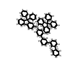 c1ccc(C2(c3ccccc3)c3ccccc3-c3ccc(N(c4ccc(-c5cccc(-c6cccc7c6sc6ccccc67)c5)cc4)c4cccc5c4-c4ccccc4C5(c4ccccc4)c4ccccc4)cc32)cc1